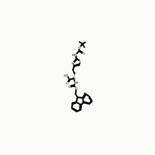 CC(C)(C)OC(=O)Nc1nc(CC[C@H](NC(=O)OCC2c3ccccc3-c3ccccc32)C(=O)O)cs1